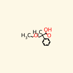 CCOCC(C)(C(=O)O)c1ccccc1